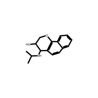 CC(C)NC1c2ccc3ccccc3c2OCC1O